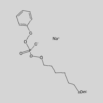 CCCCCCCCCCCCCCCCOOP(=O)([O-])OOc1ccccc1.[Na+]